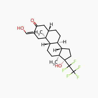 C[C@]12CC(=CO)C(=O)C[C@@H]1CC[C@@H]1[C@@H]2CC[C@@]2(C)[C@H]1CC[C@@]2(O)C(F)(F)C(F)(F)F